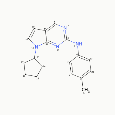 Cc1ccc(Nc2ncc3ccn(C4CCCC4)c3n2)cc1